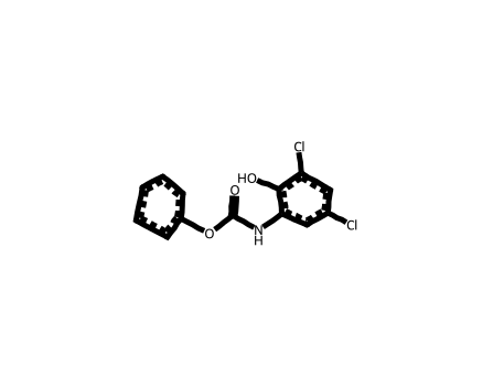 O=C(Nc1cc(Cl)cc(Cl)c1O)Oc1ccccc1